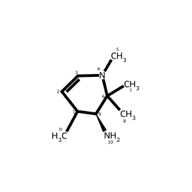 CC1C=CN(C)C(C)(C)[C@H]1N